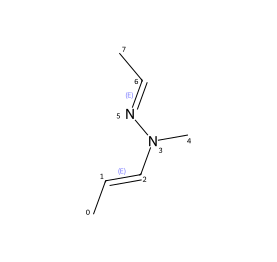 C/C=C/N(C)/N=C/C